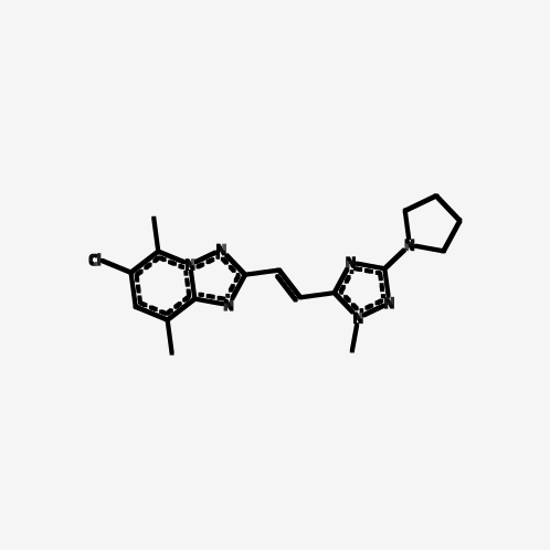 Cc1cc(Cl)c(C)n2nc(C=Cc3nc(N4CCCC4)nn3C)nc12